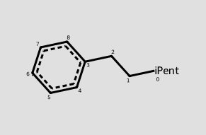 CCCC(C)CCc1cc[c]cc1